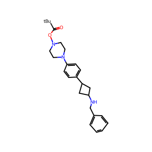 CC(C)(C)C(=O)ON1CCN(c2ccc(C3CC(NCc4ccccc4)C3)cc2)CC1